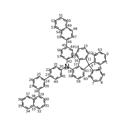 c1ccc(C2(c3ccccc3)c3ccccc3-c3c(N(c4ccc(-c5cccc(-c6cccc7ccccc67)c5)cc4)c4ccc(-c5ccc6ccccc6c5)cc4)cccc32)cc1